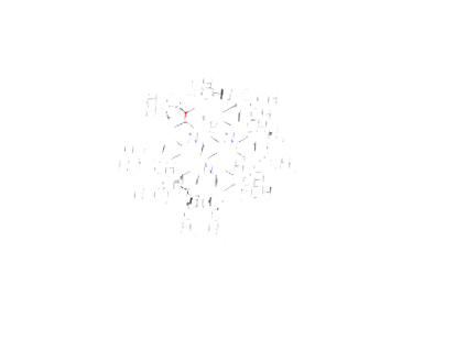 Cc1cc(C(C)(C)C)ccc1N1c2cc(C(C)(C)C)ccc2B2c3cc4c(cc3N(c3ccc(C(C)(C)C)cc3-c3ccccc3)c3cc(N(c5ccc6c(c5)C(C)(C)CCC6(C)C)c5ccc6c(c5)C(C)(C)CCC6(C)C)cc1c32)C(C)(C)CC4(C)C